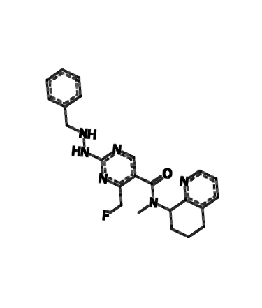 CN(C(=O)c1cnc(NNCc2ccccc2)nc1CF)C1CCCc2cccnc21